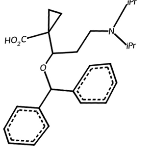 CC(C)N(CCC(OC(c1ccccc1)c1ccccc1)C1(C(=O)O)CC1)C(C)C